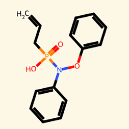 C=CCP(=O)(O)N(Oc1ccccc1)c1ccccc1